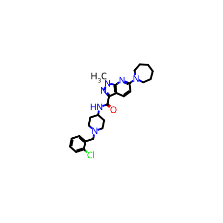 Cn1nc(C(=O)NC2CCN(Cc3ccccc3Cl)CC2)c2ccc(N3CCCCCC3)nc21